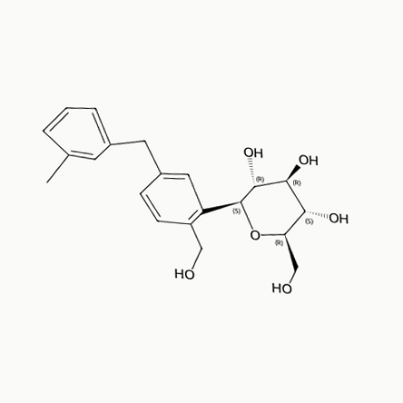 Cc1cccc(Cc2ccc(CO)c([C@@H]3O[C@H](CO)[C@@H](O)[C@H](O)[C@H]3O)c2)c1